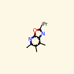 Cc1nc2oc(C(C)C)nc2c(C)c1C